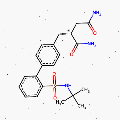 CC(C)(C)NS(=O)(=O)c1ccccc1-c1ccc(C[C@H](CC(N)=O)C(N)=O)cc1